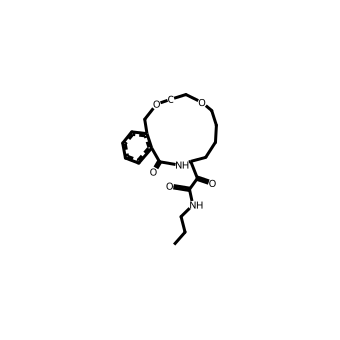 CCCNC(=O)C(=O)C1CCCCOCCOCc2ccccc2C(=O)N1